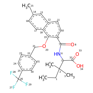 CCC(C)(C)C(NC(=O)c1ccc2cc(C)ccc2c1OCc1ccc(C(F)(F)F)cc1)C(=O)O